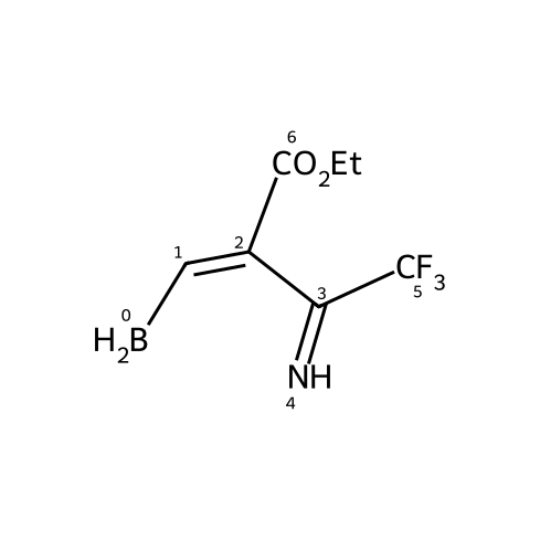 B/C=C(\C(=N)C(F)(F)F)C(=O)OCC